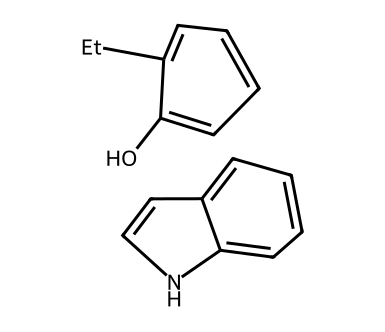 CCc1ccccc1O.c1ccc2[nH]ccc2c1